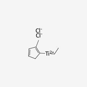 C[CH2][Ti+2][C]1=C(C)C=CC1.[Cl-].[Cl-]